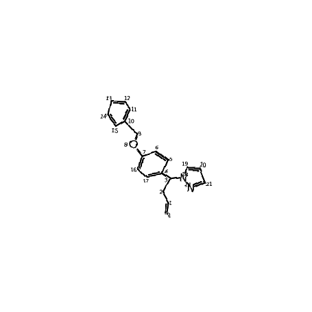 C=CCC(c1ccc(OCc2ccccc2)cc1)n1cccn1